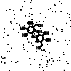 OCC1O[C@H](O[C@H]2OC(CS)[C@@H](O)[C@H](O)C2O)[C@H](O)C(O)[C@@H]1O